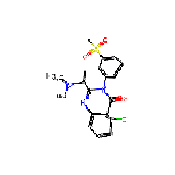 CC(c1nc2cccc(Cl)c2c(=O)n1-c1cccc(S(C)(=O)=O)c1)N(C(=O)O)C(C)(C)C